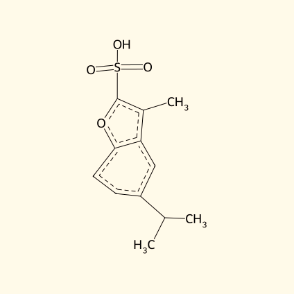 Cc1c(S(=O)(=O)O)oc2ccc(C(C)C)cc12